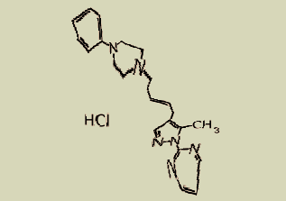 Cc1c(/C=C/CN2CCN(c3ccccc3)CC2)cnn1-c1ncccn1.Cl